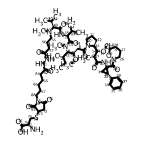 CC[C@H](C)[C@@H]([C@@H](CC(=O)N1CCC[C@H]1[C@H](OC)[C@@H](C)C(=O)N[C@@]1(C(=O)N2CCCCO2)C[C@@H]1c1ccccc1)OC)N(C)C(=O)[C@@H](NC(=O)[C@H](C(C)C)N(C)CCCC(=O)NNC(=O)CCCCCN1C(=O)CC(SC[C@H](N)C(=O)O)C1=O)C(C)C